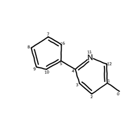 Cc1ccc(-c2[c]cccc2)nc1